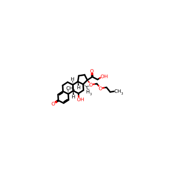 CCCOCO[C@]1(C(=O)CO)CC[C@H]2[C@@H]3CCC4=CC(=O)C=C[C@]4(C)[C@H]3C(O)C[C@@]21C